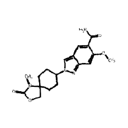 COc1cc2nn(C3CCC4(CC3)COC(=O)N4C)cc2cc1C(N)=O